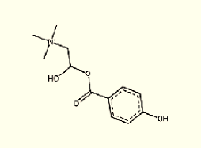 C[N+](C)(C)CC(O)OC(=O)c1ccc(O)cc1